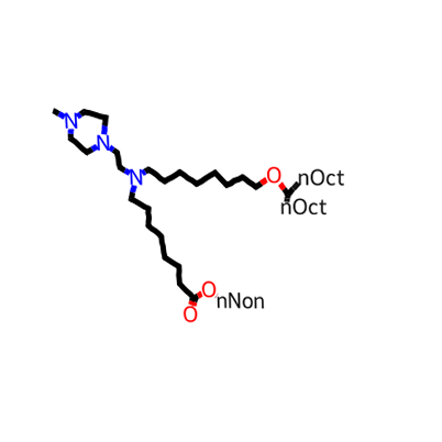 CCCCCCCCCOC(=O)CCCCCCCN(CCCCCCCCOC(CCCCCCCC)CCCCCCCC)CCN1CCN(C)CC1